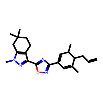 C=CCC1C(C)=CC(c2noc(-c3nn(C)c4c3CCC(C)(C)C4)n2)=CC1C